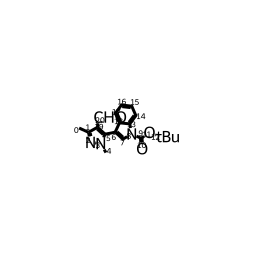 Cc1nn(C)c(-c2cn(C(=O)OC(C)(C)C)c3ccccc23)c1C=O